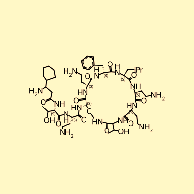 CC(C)C[C@@H]1NC(=O)[C@@H](Cc2ccccc2)NC(=O)[C@H](CCN)NC(=O)[C@@H](NC(=O)[C@H](CCN)NC(=O)[C@@H](NC(=O)CC(N)C2CCCCC2)C(C)O)CCNC(=O)C(C(C)O)NC(=O)[C@H](CCN)NC(=O)[C@H](CCN)NC1=O